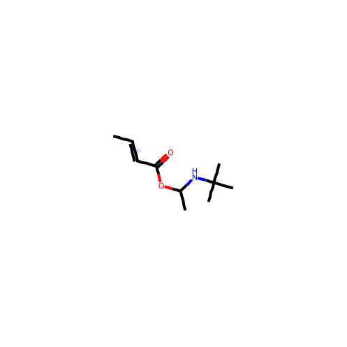 C/C=C/C(=O)OC(C)NC(C)(C)C